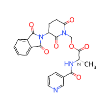 C[C@H](NC(=O)c1cccnc1)C(=O)OCN1C(=O)CCC(N2C(=O)c3ccccc3C2=O)C1=O